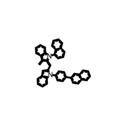 C=c1/c(=C\c2cc3ccccc3n2-c2ccc(-c3ccc4ccccc4c3)cc2)n(-c2cccc3ccccc23)c2ccccc12